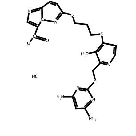 Cc1c(SCCCSc2ccc3ncc([N+](=O)[O-])n3n2)ccnc1CSc1nc(N)cc(N)n1.Cl